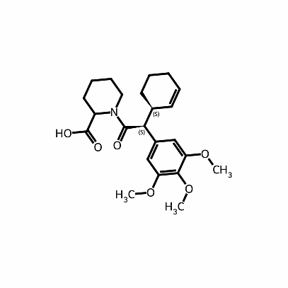 COc1cc([C@@H](C(=O)N2CCCCC2C(=O)O)[C@@H]2C=CCCC2)cc(OC)c1OC